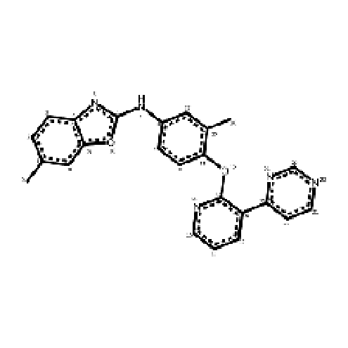 Cc1ccc2nc(Nc3ccc(Oc4ncccc4-c4ccncn4)c(C)c3)oc2c1